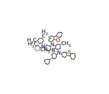 Cc1cc2c3c(c1)N(c1cccc4c1oc1ccccc14)c1cc(N4c5cc(C)cc(C)c5C5(C)CCCCC45C)ccc1B3c1cc(-c3ccccc3)ccc1N2c1ccc2c(c1)sc1ccccc12